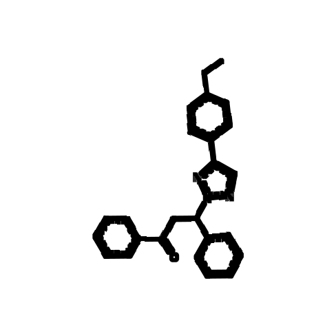 CCc1ccc(-c2cnn(C(CC(=O)c3ccccc3)c3ccccc3)n2)cc1